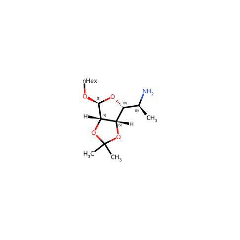 CCCCCCO[C@H]1O[C@H]([C@H](C)N)[C@@H]2OC(C)(C)O[C@H]12